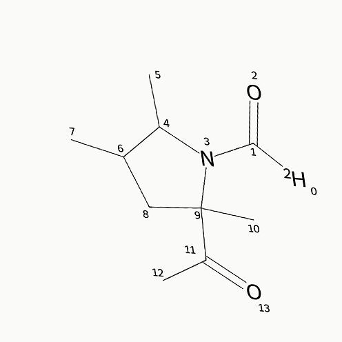 [2H]C(=O)N1C(C)C(C)CC1(C)C(C)=O